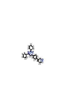 C1=CCC(c2nc(-c3ccccc3)cc(-c3ccc(-c4cccnc4)cc3)n2)C=C1